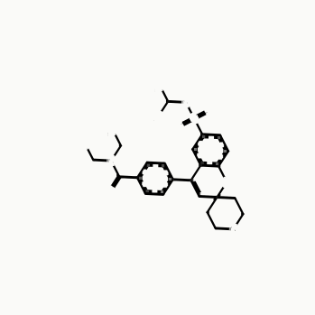 CCN(CC)C(=O)c1ccc(C2=CC3(CCNCC3)Oc3ccc(S(=O)(=O)NC(C)C)cc32)cc1